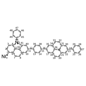 N#Cc1ccc2c3c1ccc1cc(-c4ccc(-c5cc6ccc7cc(-c8ccccc8)cc8ccc(c5)c6c78)cc4)cc(c13)n2-c1ccccc1